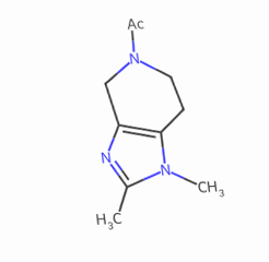 CC(=O)N1CCc2c(nc(C)n2C)C1